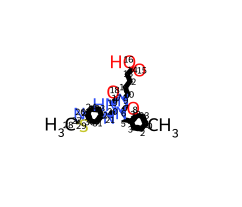 Cc1ccc(Cn2c(=O)n(CCCCC(=O)O)c(=O)[nH]/c2=N\c2ccc3nc(C)sc3c2)cc1